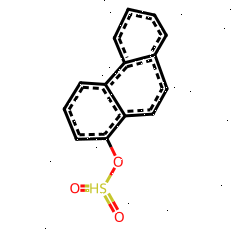 O=[SH](=O)Oc1cccc2c1ccc1ccccc12